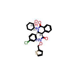 O=C(NOCc1cccs1)[C@@H]1c2ccccc2C(=O)N([C@H]2CCCC[C@@H]2O)[C@H]1c1ccc(Cl)cc1